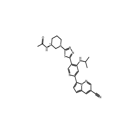 CC(=O)N[C@H]1CCCN(c2nnc(-c3cnc(-c4ccc5cc(C#N)cnn45)cc3NC(C)C)s2)C1